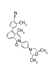 Cc1cc(-c2cccc3c(=O)n(-c4ccc(N5CC(C)O[C@H](C)C5)cc4)cc(C)c23)ccc1C#N